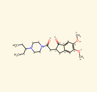 CCC(CC)N1CCN(C(=O)CC2Cc3cc(OC)c(OC)cc3C2=O)CC1